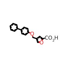 O=C(O)c1cc(COc2ccc(-c3ccccc3)cc2)co1